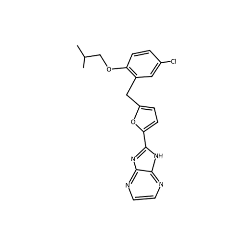 CC(C)COc1ccc(Cl)cc1Cc1ccc(-c2nc3nccnc3[nH]2)o1